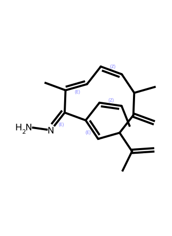 C=C(C)C1/C=C(\C=C/C)C(=N/N)/C(C)=C/C=C\C(C)C1=C